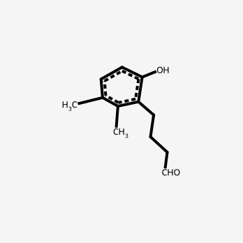 Cc1ccc(O)c(CCCC=O)c1C